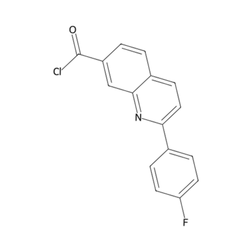 O=C(Cl)c1ccc2ccc(-c3ccc(F)cc3)nc2c1